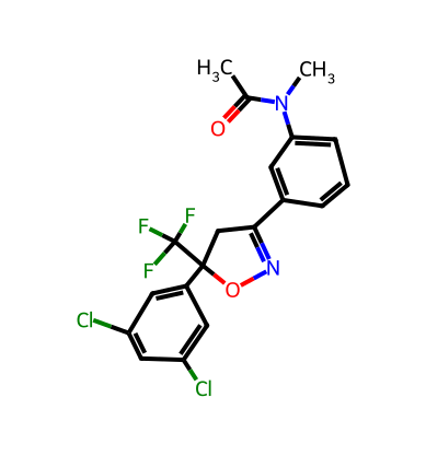 CC(=O)N(C)c1cccc(C2=NOC(c3cc(Cl)cc(Cl)c3)(C(F)(F)F)C2)c1